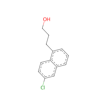 OCCCc1cccc2cc(Cl)ccc12